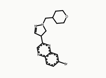 Brc1ccc2ncc(C3C=NN(CC4CCOCC4)C3)nc2c1